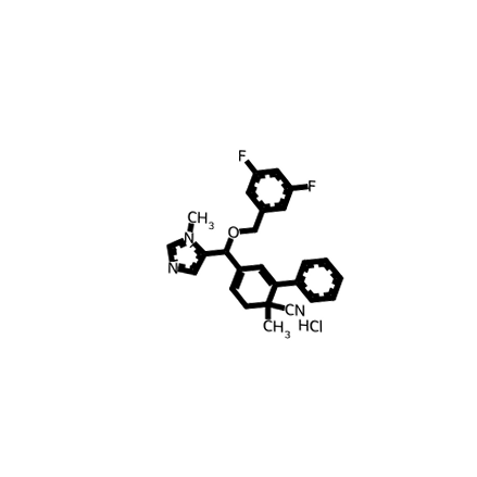 Cl.Cn1cncc1C(OCc1cc(F)cc(F)c1)C1=CCC(C)(C#N)C(c2ccccc2)=C1